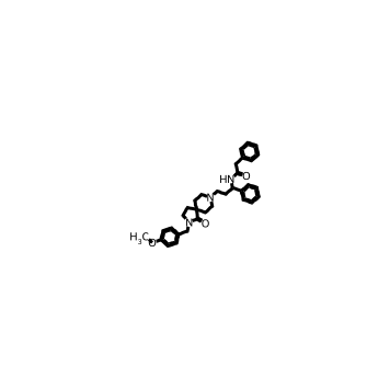 COc1ccc(CN2CCC3(CCN(CCC(NC(=O)Cc4ccccc4)c4ccccc4)CC3)C2=O)cc1